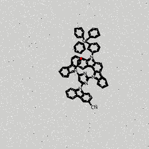 N#Cc1ccc2c(c1)c1ccccc1n2-c1cc(-n2c3ccccc3c3ccccc32)nc(-n2c3ccccc3c3ccc4c(c5ccccc5n4-c4cccc([Si](c5ccccc5)(c5ccccc5)c5ccccc5)c4)c32)n1